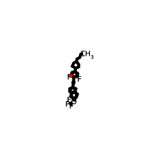 CCCCC1CCC(c2cc(F)c(C#Cc3ccc4cc(OC(F)(F)F)ccc4c3)c(F)c2)CC1